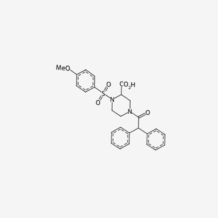 COc1ccc(S(=O)(=O)N2CCN(C(=O)C(c3ccccc3)c3ccccc3)CC2C(=O)O)cc1